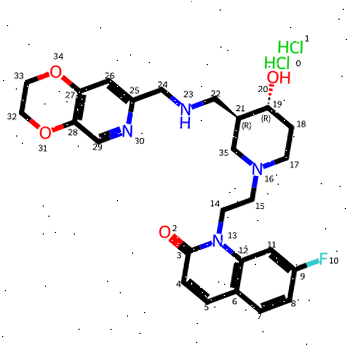 Cl.Cl.O=c1ccc2ccc(F)cc2n1CCN1CC[C@@H](O)[C@H](CNCc2cc3c(cn2)OCCO3)C1